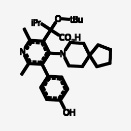 Cc1nc(C)c(C(OC(C)(C)C)(C(=O)O)C(C)C)c(N2CCC3(CCCC3)CC2)c1-c1ccc(O)cc1